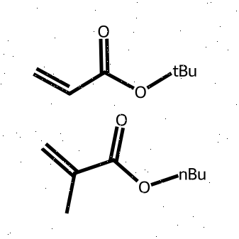 C=C(C)C(=O)OCCCC.C=CC(=O)OC(C)(C)C